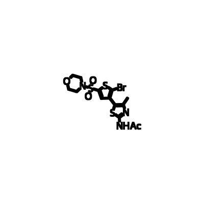 CC(=O)Nc1nc(C)c(-c2cc(S(=O)(=O)N3CCOCC3)sc2Br)s1